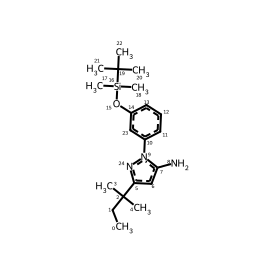 CCC(C)(C)c1cc(N)n(-c2cccc(O[Si](C)(C)C(C)(C)C)c2)n1